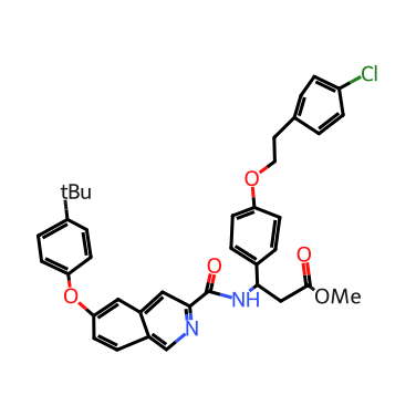 COC(=O)CC(NC(=O)c1cc2cc(Oc3ccc(C(C)(C)C)cc3)ccc2cn1)c1ccc(OCCc2ccc(Cl)cc2)cc1